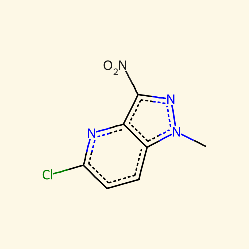 Cn1nc([N+](=O)[O-])c2nc(Cl)ccc21